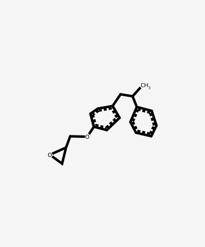 CC(Cc1ccc(OCC2CO2)cc1)c1ccccc1